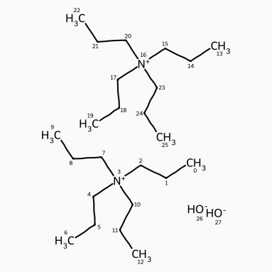 CCC[N+](CCC)(CCC)CCC.CCC[N+](CCC)(CCC)CCC.[OH-].[OH-]